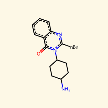 CCCCc1nc2ccccc2c(=O)n1C1CCC(N)CC1